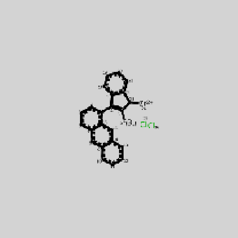 CCCCC1=C(c2cccc3cc4ccccc4cc23)c2ccccc2[CH]1[Zr+2].[Cl-].[Cl-]